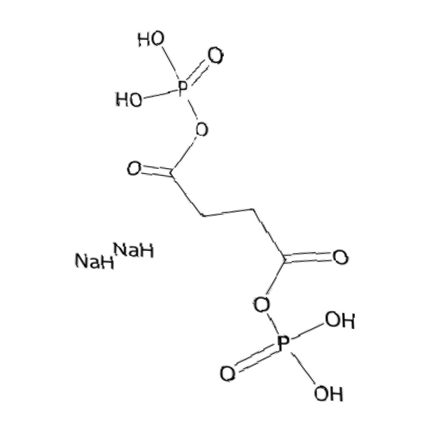 O=C(CCC(=O)OP(=O)(O)O)OP(=O)(O)O.[NaH].[NaH]